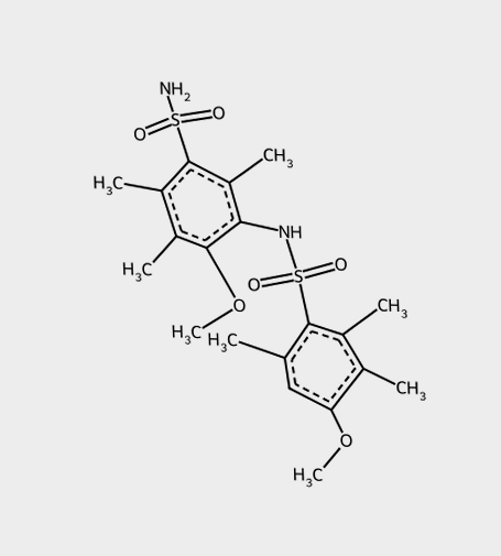 COc1cc(C)c(S(=O)(=O)Nc2c(C)c(S(N)(=O)=O)c(C)c(C)c2OC)c(C)c1C